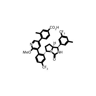 COc1ncc(-c2ccc(C(=O)O)cc2C)cc1-c1ccc(C(F)(F)F)cc1[C@@H]1CC[C@H]2[C@@H](c3cc(C)cc(C(F)(F)F)c3)NC(=O)N12